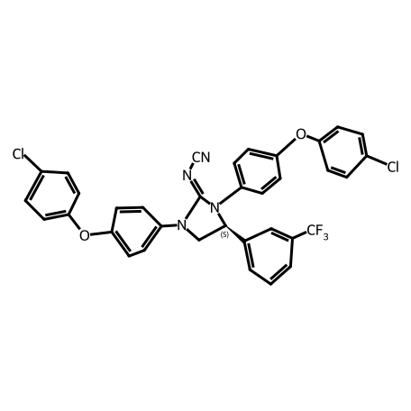 N#CN=C1N(c2ccc(Oc3ccc(Cl)cc3)cc2)C[C@H](c2cccc(C(F)(F)F)c2)N1c1ccc(Oc2ccc(Cl)cc2)cc1